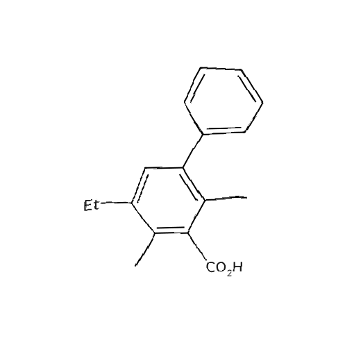 CCc1cc(-c2ccccc2)c(C)c(C(=O)O)c1C